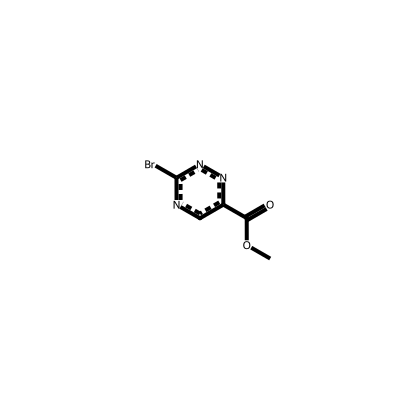 COC(=O)c1cnc(Br)nn1